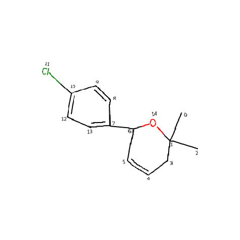 CC1(C)CC=CC(c2ccc(Cl)cc2)O1